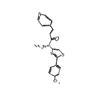 NN(C(=O)C=Cc1ccncc1)c1csc(-c2ccc(C(F)(F)F)cc2)n1